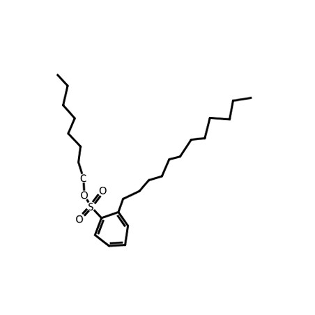 CCCCCCCCCCCCc1ccccc1S(=O)(=O)OCCCCCCCC